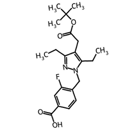 CCc1nn(Cc2ccc(C(=O)O)cc2F)c(CC)c1CC(=O)OC(C)(C)C